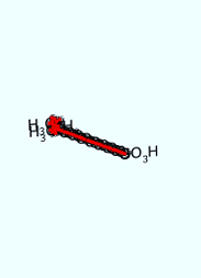 CC(c1ccccc1)c1cc(C(C)c2ccccc2)c(OCCOCCOCCOCCOCCOCCOCCOCCOCCOCCOCCOCCOCCOCCOCCOCCOS(=O)(=O)O)c(C(C)c2ccccc2)c1